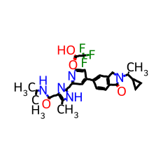 Cc1[nH]c(-c2cc(-c3ccc4c(c3)CN([C@@H](C)C3CC3)C4=O)ccn2)nc1C(=O)NC(C)C.O=C(O)C(F)(F)F